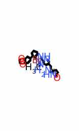 Cn1nc(Nc2cccc(-c3ccc4c(c3)OCCO4)c2Br)c2ncc(C=C(N)[C@@H]3CCC(=O)N3)cc21